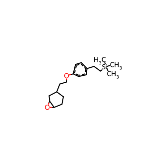 C[Si](C)(C)CCc1ccc(OCCC2CCC3OC3C2)cc1